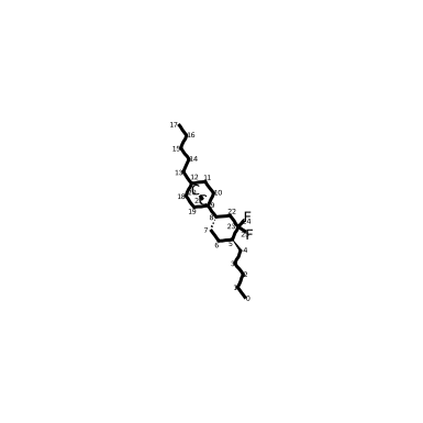 CCCCC[C@H]1CC[C@H](C23CCC(CCCCC)(CC2)CC3)CC1(F)F